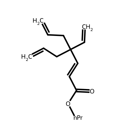 C=CCC(C=C)(C=CC(=O)OCCC)CC=C